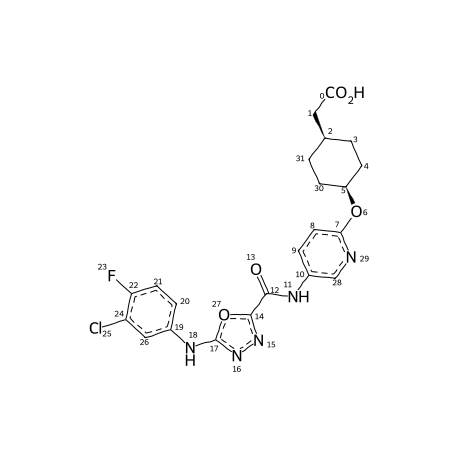 O=C(O)C[C@H]1CC[C@@H](Oc2ccc(NC(=O)c3nnc(Nc4ccc(F)c(Cl)c4)o3)cn2)CC1